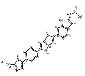 CC(=O)Pc1ncc(-c2ccc(-c3cc4sc(-c5ccc6nc(PC(C)O)[nH]c6c5)cc4s3)cc2)[nH]1